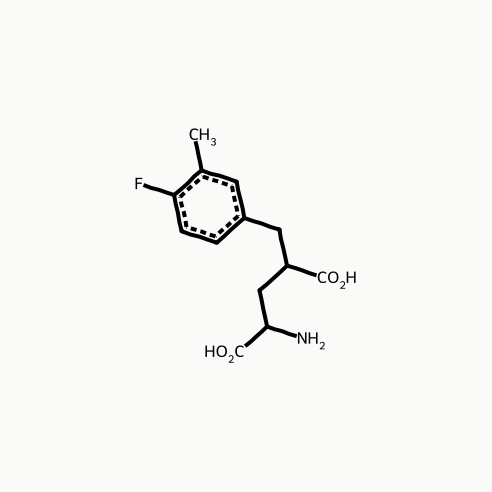 Cc1cc(CC(CC(N)C(=O)O)C(=O)O)ccc1F